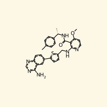 COc1ccnc(NCc2ccc(-c3ccc4ncnc(N)c4c3)s2)c1C(=O)N[C@@H](C)c1ccc(C)cc1